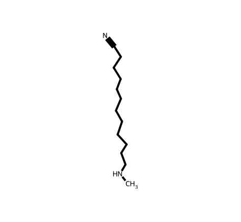 CNCCCCCCCCCCCC#N